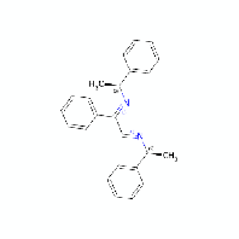 C[C@H](/N=C/C(=N/[C@@H](C)c1ccccc1)c1ccccc1)c1ccccc1